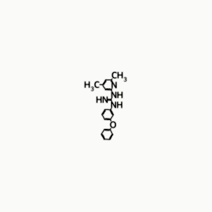 Cc1cc(C)nc(NC(=N)Nc2cccc(Oc3ccccc3)c2)c1